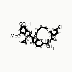 COc1cc(C(=O)O)cc2nc(-c3cc4ccc5nc4n3CCCCCc3nc(Cl)ccc3C(=O)N[C@@H]5C)n(C3CC3)c12